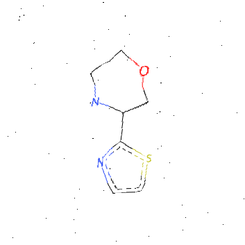 c1csc(C2COCC[N]2)n1